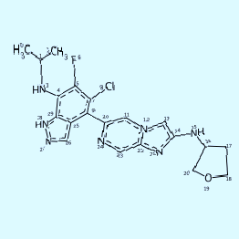 CC(C)Nc1c(F)c(Cl)c(-c2cn3cc(NC4CCOC4)nc3cn2)c2cn[nH]c12